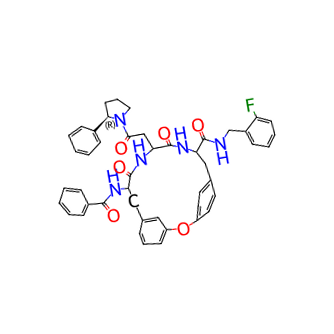 O=C(NC1Cc2cccc(c2)Oc2ccc(cc2)CC(C(=O)NCc2ccccc2F)NC(=O)C(CC(=O)N2CCC[C@@H]2c2ccccc2)NC1=O)c1ccccc1